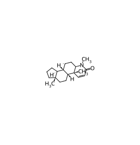 CN1C(=O)C=C[C@@]2(C)C1C[CH][C@@H]1[C@H]2CC[C@]2(C)CCC[C@@H]12